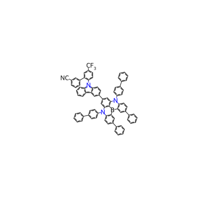 N#Cc1cccc(-c2cc(C(F)(F)F)ccc2-n2c3ccccc3c3cc(-c4cc5c6c(c4)N(c4ccc(-c7ccccc7)cc4)c4ccc(-c7ccccc7)cc4B6c4cc(-c6ccccc6)ccc4N5c4ccc(-c5ccccc5)cc4)ccc32)c1